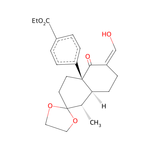 CCOC(=O)c1ccc([C@]23CCC4(OCCO4)[C@@H](C)[C@@H]2CC/C(=C/O)C3=O)cc1